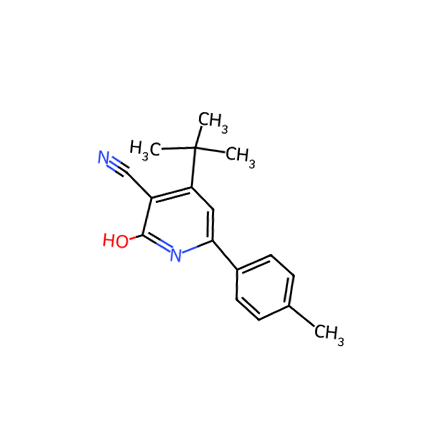 Cc1ccc(-c2cc(C(C)(C)C)c(C#N)c(O)n2)cc1